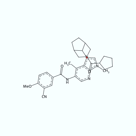 COc1ccc(C(=O)Nc2cnc3c(c(C4C5CCC4CN(C(=O)C4CCCC4)C5)cn3C)c2C)cc1C#N